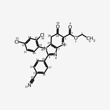 CCOC(=O)C1=Nc2nc(-c3ccc(C#N)cc3)n(-c3ccc(Cl)cc3Cl)c2CC1=O